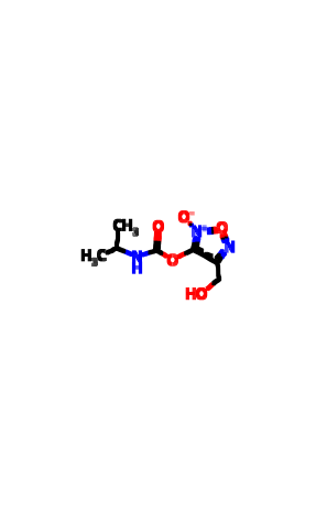 CC(C)NC(=O)Oc1c(CO)no[n+]1[O-]